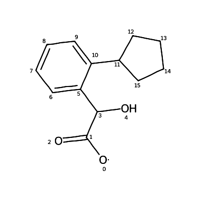 [O]C(=O)C(O)c1ccccc1C1CCCC1